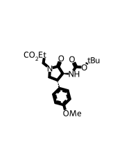 CCOC(=O)CN1C[C@@H](c2ccc(OC)cc2)[C@H](NC(=O)OC(C)(C)C)C1=O